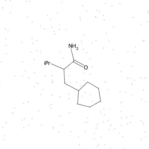 CC(C)C(CC1CCCCC1)C(N)=O